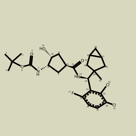 CC(C)(C)OC(=O)N[C@H]1C[C@H](C(=O)N[C@H](c2c(F)ccc(Cl)c2Cl)C2(C)CC3CC3C2)C[C@H]1O